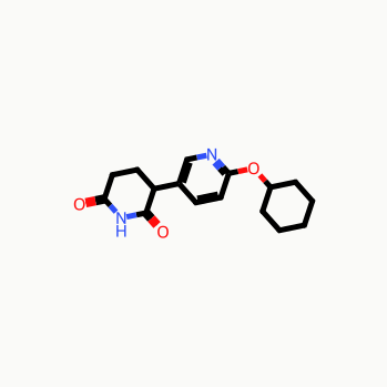 O=C1CCC(c2ccc(OC3CCCCC3)nc2)C(=O)N1